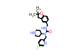 CC1(C)Cc2cc(CNC(=O)N(Cc3ccc(F)cn3)C3CCNCC3)ccc2O1